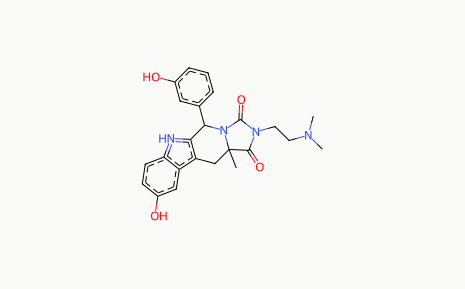 CN(C)CCN1C(=O)N2C(c3cccc(O)c3)c3[nH]c4ccc(O)cc4c3CC2(C)C1=O